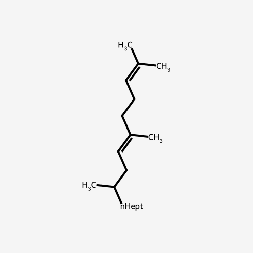 CCCC[CH]CCC(C)C/C=C(\C)CCC=C(C)C